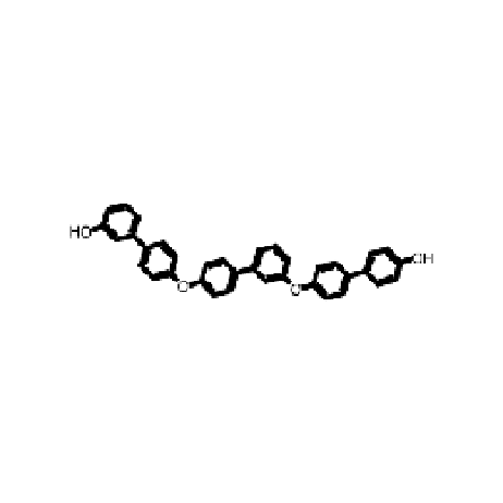 Oc1ccc(-c2ccc(Oc3cccc(-c4ccc(Oc5ccc(-c6cccc(O)c6)cc5)cc4)c3)cc2)cc1